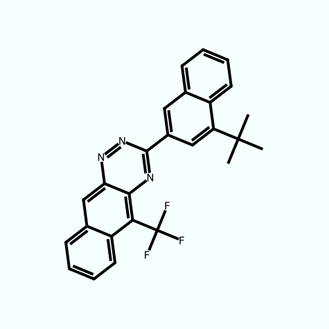 CC(C)(C)c1cc(-c2nnc3cc4ccccc4c(C(F)(F)F)c3n2)cc2ccccc12